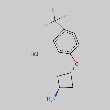 Cl.N[C@H]1C[C@H](Oc2ccc(C(F)(F)F)cc2)C1